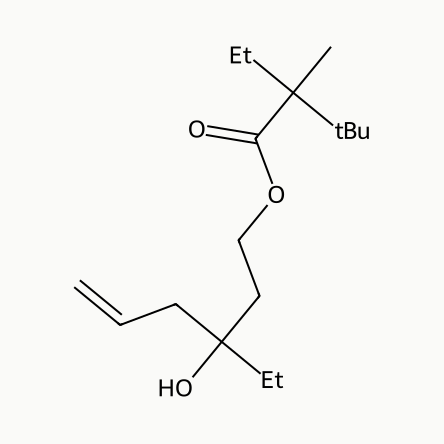 C=CCC(O)(CC)CCOC(=O)C(C)(CC)C(C)(C)C